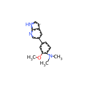 COc1cc(-c2cnc3[nH]c[c]c3c2)ccc1N(C)C